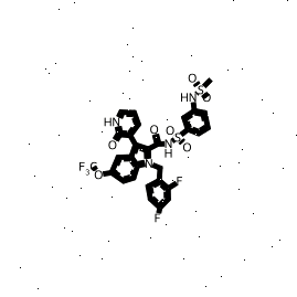 CS(=O)(=O)Nc1cccc(S(=O)(=O)NC(=O)c2c(-c3ccc[nH]c3=O)c3cc(OC(F)(F)F)ccc3n2Cc2ccc(F)cc2F)c1